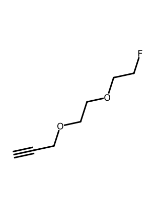 C#CCOCCOCCF